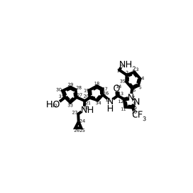 NCc1cccc(-n2nc(C(F)(F)F)cc2C(=O)Nc2cccc(C(NCC3CC3)c3cccc(O)c3)c2)c1